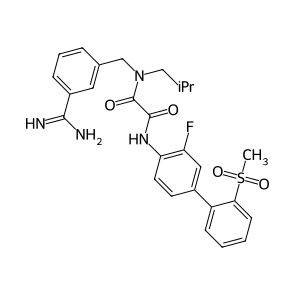 CC(C)CN(Cc1cccc(C(=N)N)c1)C(=O)C(=O)Nc1ccc(-c2ccccc2S(C)(=O)=O)cc1F